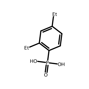 CCc1ccc(P(=O)(O)O)c(CC)c1